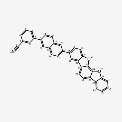 N#Cc1cccc(-c2ccc3cc(-c4ccc5oc6c(ccc7c8ccccc8oc76)c5c4)ccc3c2)c1